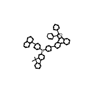 CC1(C)c2ccccc2-c2ccc(N(c3ccc(-c4ccc5c6ccccc6c6oc(-c7ccccc7)c(C7=CCCC=C7)c6c5c4)cc3)c3ccc(-c4cccc5ccccc45)cc3)cc21